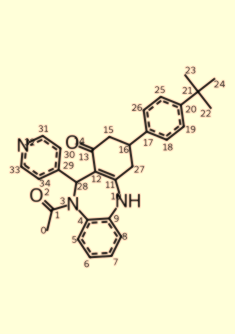 CC(=O)N1c2ccccc2NC2=C(C(=O)CC(c3ccc(C(C)(C)C)cc3)C2)C1c1ccncc1